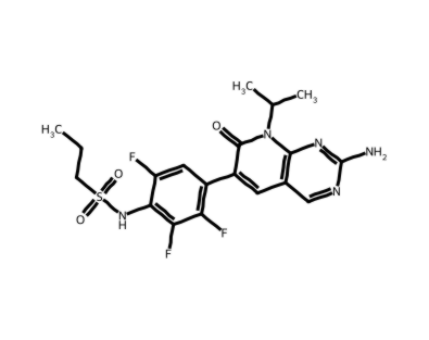 CCCS(=O)(=O)Nc1c(F)cc(-c2cc3cnc(N)nc3n(C(C)C)c2=O)c(F)c1F